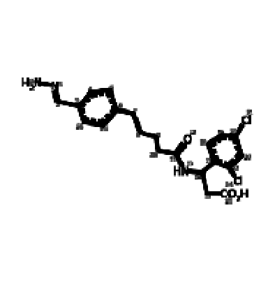 NN=Cc1ccc(CCCCC(=O)NC(CC(=O)O)c2ccc(Cl)cc2Cl)cc1